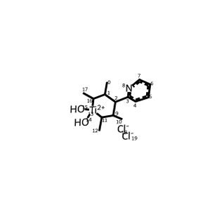 CC1C(c2ccccn2)C(C)[CH](C)[Ti+2]([OH])([OH])[CH]1C.[Cl-].[Cl-]